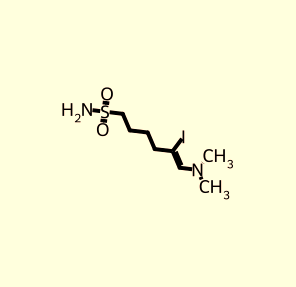 CN(C)C=C(I)CCCCS(N)(=O)=O